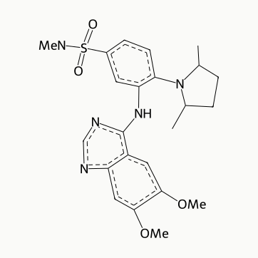 CNS(=O)(=O)c1ccc(N2C(C)CCC2C)c(Nc2ncnc3cc(OC)c(OC)cc23)c1